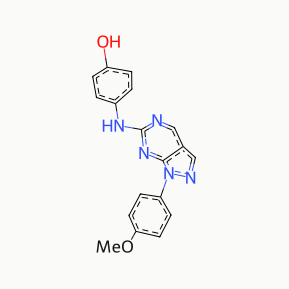 COc1ccc(-n2ncc3cnc(Nc4ccc(O)cc4)nc32)cc1